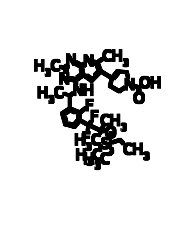 CC[Si](CC)(CC)OC(C)(C)C(F)(F)c1cccc([C@@H](C)Nc2nc(C)nc3nc(C)c(C4=CCN(C(=O)O)CC4)cc23)c1F